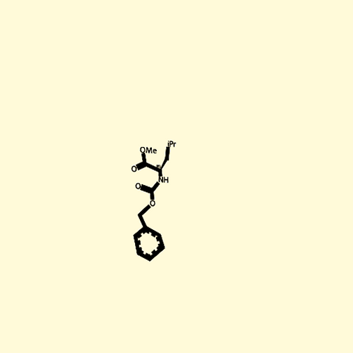 COC(=O)[C@@H](CC(C)C)NC(=O)OCc1ccccc1